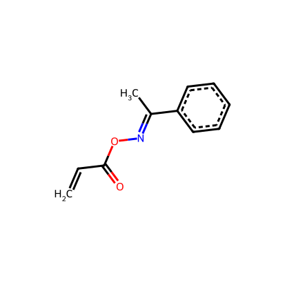 C=CC(=O)ON=C(C)c1ccccc1